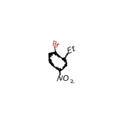 CCc1cc([N+](=O)[O-])ccc1Br